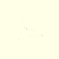 CCCS.CN(C)C.Cl